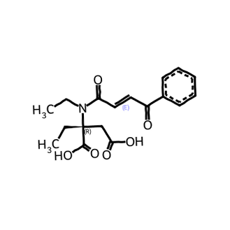 CCN(C(=O)/C=C/C(=O)c1ccccc1)[C@](CC)(CC(=O)O)C(=O)O